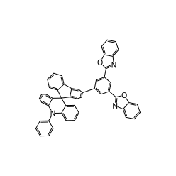 c1ccc(N2c3ccccc3C3(c4ccccc4-c4cc(-c5cc(-c6nc7ccccc7o6)cc(-c6nc7ccccc7o6)c5)ccc43)c3ccccc32)cc1